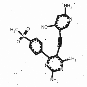 Cc1nc(N)nc(-c2ccc(S(C)(=O)=O)cc2)c1C#Cc1cnc(N)cc1C#N